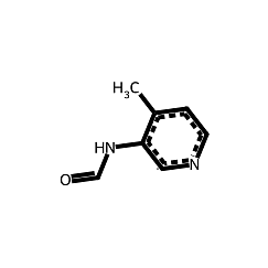 Cc1ccn[c]c1NC=O